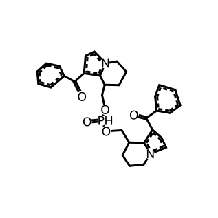 O=C(c1ccccc1)c1ccn2c1C(CO[PH](=O)OCC1CCCn3ccc(C(=O)c4ccccc4)c31)CCC2